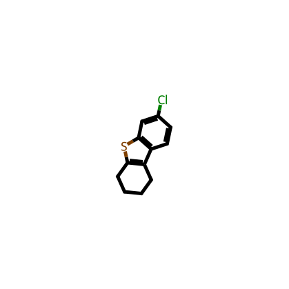 Clc1ccc2c3c(sc2c1)CCCC3